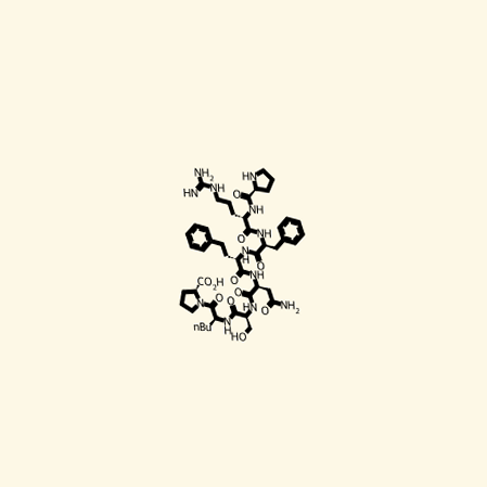 CCCC[C@H](NC(=O)[C@H](CO)NC(=O)[C@H](CC(N)=O)NC(=O)[C@H](CCc1ccccc1)NC(=O)[C@H](Cc1ccccc1)NC(=O)[C@H](CCCNC(=N)N)NC(=O)[C@@H]1CCCN1)C(=O)N1CCC[C@@H]1C(=O)O